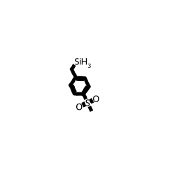 CS(=O)(=O)c1ccc(C[SiH3])cc1